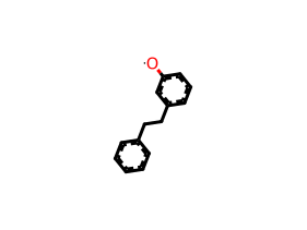 [O]c1cccc(CCc2ccccc2)c1